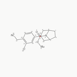 CC(C)(C)OC(=O)N1C2CCC1CN(c1ccc(CC#N)c(Cl)c1)C2